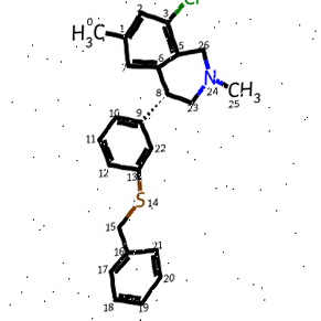 Cc1cc(Cl)c2c(c1)[C@@H](c1cccc(SCc3ccccc3)c1)CN(C)C2